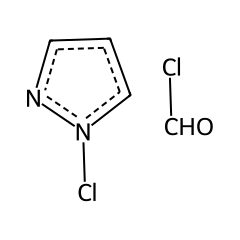 Cln1cccn1.O=CCl